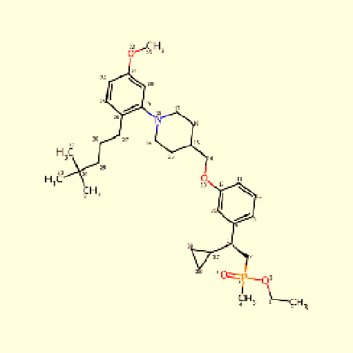 CCOP(C)(=O)C[C@H](c1cccc(OCC2CCN(c3cc(OC)ccc3CCCC(C)(C)C)CC2)c1)C1CC1